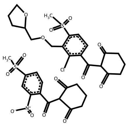 CS(=O)(=O)c1ccc(C(=O)C2C(=O)CCCC2=O)c(Cl)c1COCC1CCCO1.CS(=O)(=O)c1ccc(C(=O)C2C(=O)CCCC2=O)c([N+](=O)[O-])c1